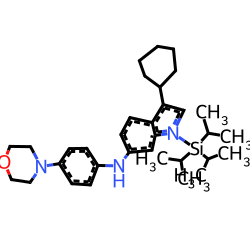 CC(C)[Si](C(C)C)(C(C)C)n1cc(C2CCCCC2)c2ccc(Nc3ccc(N4CCOCC4)cc3)cc21